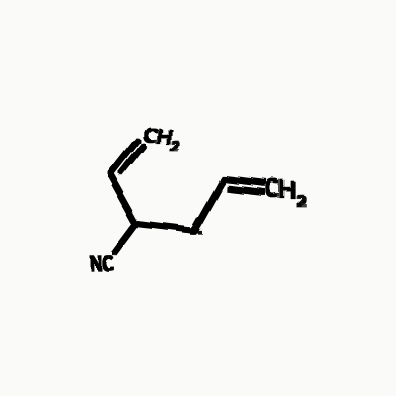 C=C[CH]C(C#N)C=C